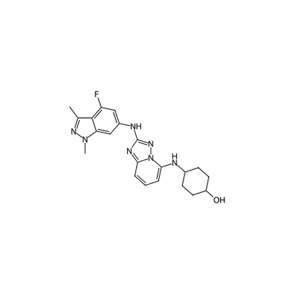 Cc1nn(C)c2cc(Nc3nc4cccc(NC5CCC(O)CC5)n4n3)cc(F)c12